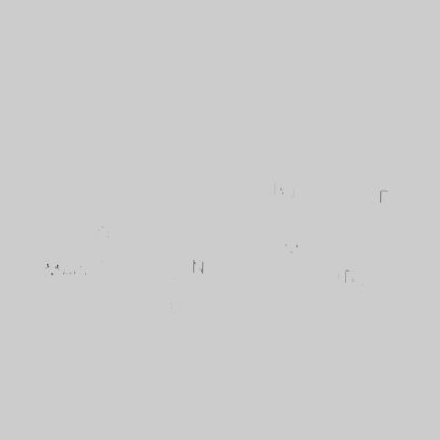 COC(=O)CCC(=O)N1CCC(COc2c(C(C)(C)C)cc(F)cc2C(C)(C)C)CC1